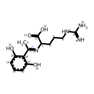 C/C(=N\C(CCCNC(=N)N)C(=O)O)c1c(O)cccc1O